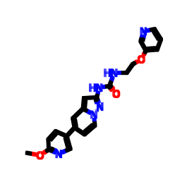 COc1ccc(-c2ccn3nc(NC(=O)NCCOc4cccnc4)cc3c2)cn1